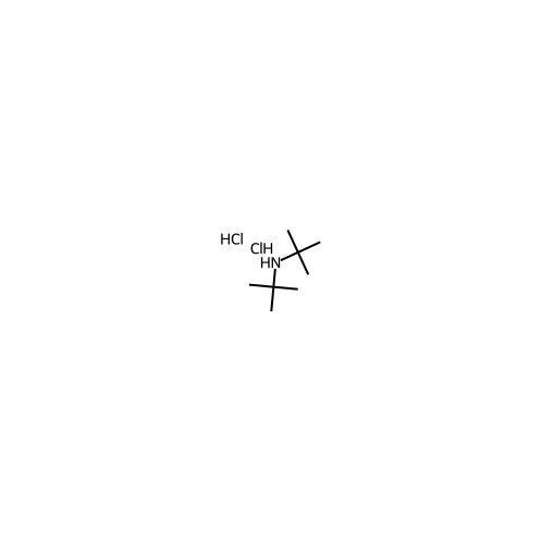 CC(C)(C)NC(C)(C)C.Cl.Cl